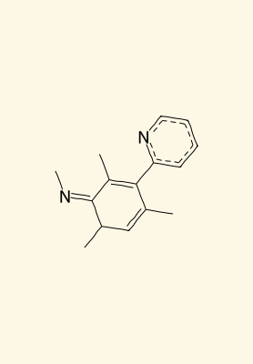 CN=C1C(C)=C(c2ccccn2)C(C)=CC1C